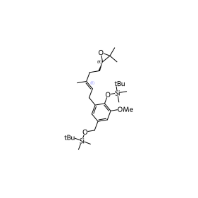 COc1cc(CO[Si](C)(C)C(C)(C)C)cc(C/C=C(\C)CC[C@H]2OC2(C)C)c1O[Si](C)(C)C(C)(C)C